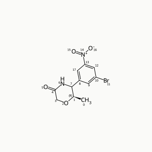 C[C@H]1OCC(=O)NC1c1cc(Br)cc([N+](=O)[O-])c1